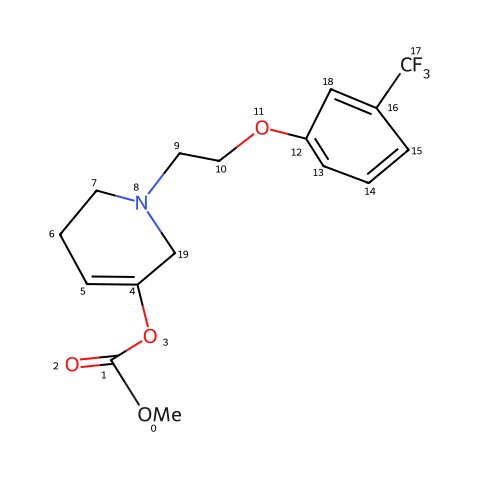 COC(=O)OC1=CCCN(CCOc2cccc(C(F)(F)F)c2)C1